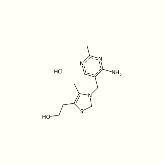 CC1=C(CCO)SCN1Cc1cnc(C)nc1N.Cl